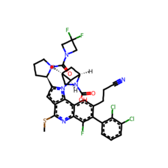 CSc1nc2c(F)c(-c3cccc(Cl)c3Cl)c(CCC#N)cc2c2c1cc([C@H]1CCCN1C(=O)N1CC(F)(F)C1)n2[C@H]1[C@@H]2C[C@H]1N(C(=O)O)C2